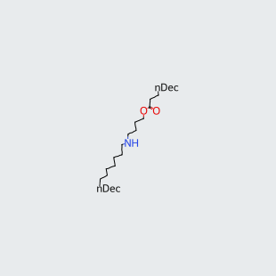 CCCCCCCCCCCCCCCCCNCCCCOC(=O)CCCCCCCCCCCC